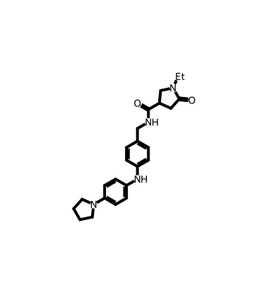 CCN1CC(C(=O)NCc2ccc(Nc3ccc(N4CCCC4)cc3)cc2)CC1=O